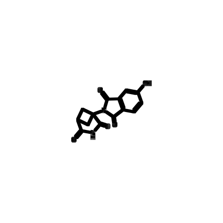 O=C1NC(=O)C2(N3C(=O)c4ccc(O)cc4C3=O)CC1C2